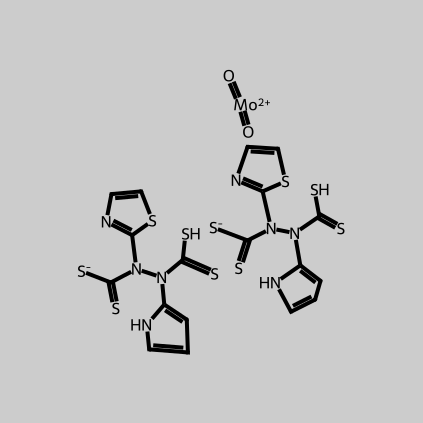 S=C(S)N(c1ccc[nH]1)N(C(=S)[S-])c1nccs1.S=C(S)N(c1ccc[nH]1)N(C(=S)[S-])c1nccs1.[O]=[Mo+2]=[O]